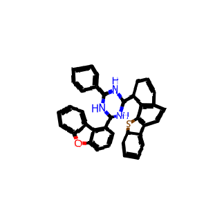 C1=CCC2Sc3c(ccc4c3C(C3NC(c5ccccc5)NC(c5cccc6oc7ccccc7c56)N3)CC=C4)C2=C1